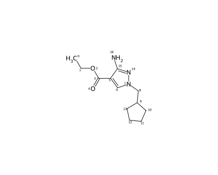 CCOC(=O)c1cn(CC2CCCC2)nc1N